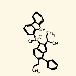 CCCc1ccc2c(c1-c1ccccc1)C=C(C(C)CC)[CH]2[Zr]([Cl])([Cl])[c]1cccc2c1[SiH2]c1ccccc1-2